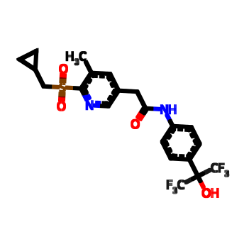 Cc1cc(CC(=O)Nc2ccc(C(O)(C(F)(F)F)C(F)(F)F)cc2)cnc1S(=O)(=O)CC1CC1